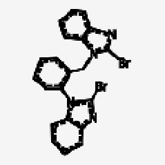 Brc1nc2ccccc2n1Cc1ccccc1-n1c(Br)nc2ccccc21